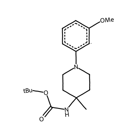 COc1[c]c(N2CCC(C)(NC(=O)OC(C)(C)C)CC2)ccc1